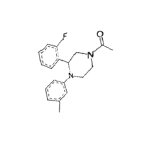 CC(=O)N1CCN(c2cccc(C)c2)C(c2ccccc2F)C1